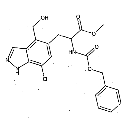 COC(=O)C(Cc1cc(Cl)c2[nH]ncc2c1CO)NC(=O)OCc1ccccc1